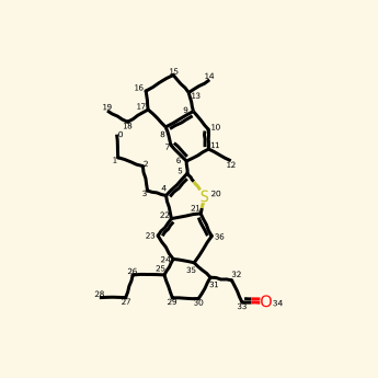 CCCCc1c(-c2cc3c(cc2C)C(C)CCC3CC)sc2c1=CC1C(CCC)CCC(CC=O)C1C=2